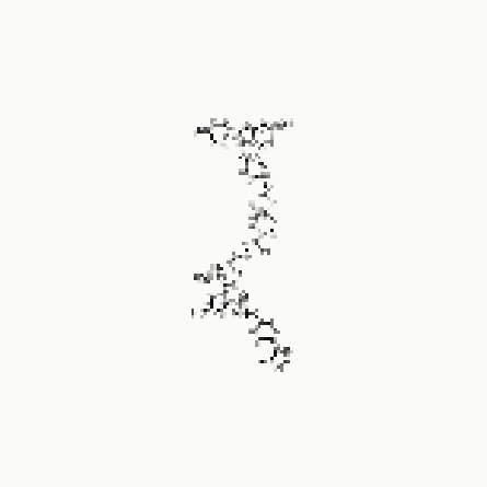 Cc1ncsc1-c1ccc(CNC(=O)[C@@H]2C[C@@H](O)CN2C(=O)C(NC(=O)CCCC(=O)N2CCN(CCOc3ccc(Oc4c(-c5ccc(F)cc5)sc5cc(O)ccc45)cc3)[C@H](C)C2)C(C)(C)C)cc1